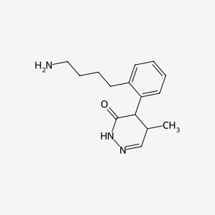 CC1C=NNC(=O)C1c1ccccc1CCCCN